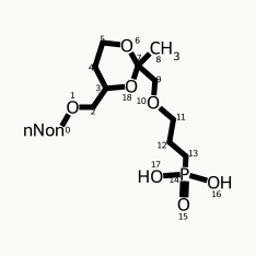 CCCCCCCCCOCC1CCOC(C)(COCCCP(=O)(O)O)O1